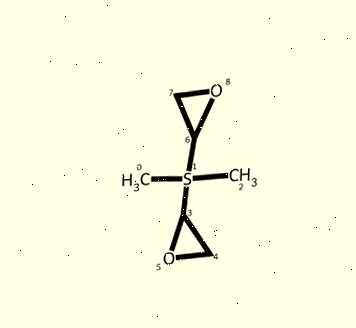 CS(C)(C1CO1)C1CO1